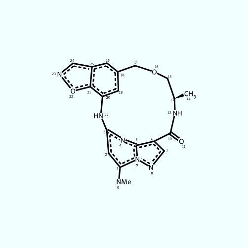 CNc1cc2nc3c(cnn13)C(=O)N[C@H](C)COCc1cc(c3oncc3c1)N2